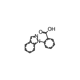 O=C(O)c1ccccc1-n1ncc2ccccc21